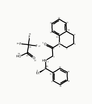 CC[C@@H](NCC(=O)N1CCCc2ccccc21)c1ccccc1.O=C(O)C(F)(F)F